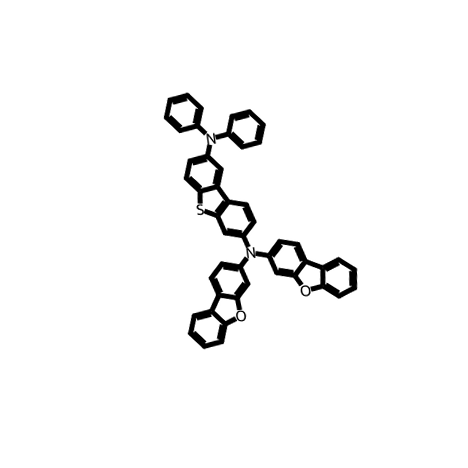 c1ccc(N(c2ccccc2)c2ccc3sc4cc(N(c5ccc6c(c5)oc5ccccc56)c5ccc6c(c5)oc5ccccc56)ccc4c3c2)cc1